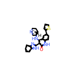 O=c1[nH]c2ccc(-c3cccs3)cc2c(N[C@@H]2CN3CCC2CC3)c1-c1nc2ccccc2[nH]1